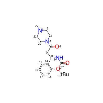 CN1CCN(C(=O)CC(NC(=O)OC(C)(C)C)c2ccccc2)CC1